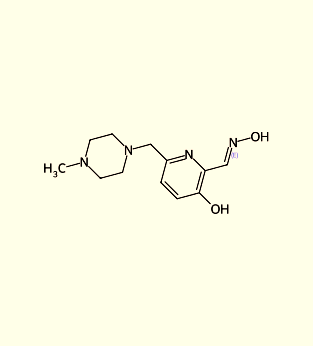 CN1CCN(Cc2ccc(O)c(/C=N/O)n2)CC1